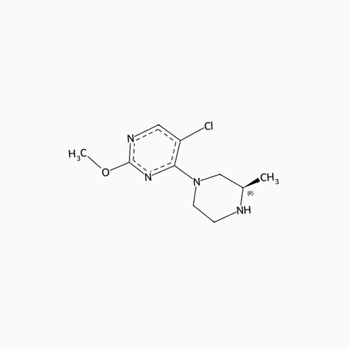 COc1ncc(Cl)c(N2CCN[C@H](C)C2)n1